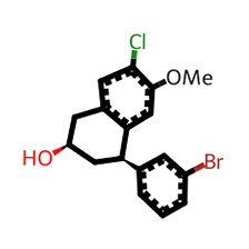 COc1cc2c(cc1Cl)C[C@H](O)C[C@@H]2c1cccc(Br)c1